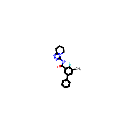 Cc1cc(-c2ccccc2)cc(C(=O)Nc2nnc3n2CCCC3)c1F